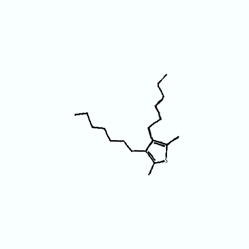 CCCCCCCc1c(C)sc(C)c1CCCCCC